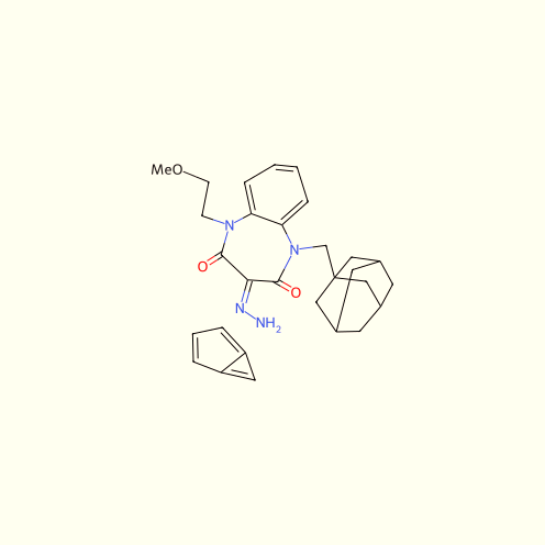 COCCn1c(=O)c(=NN)c(=O)n(CC23CC4CC(CC(C4)C2)C3)c2ccccc21.c1cc2cc-2c1